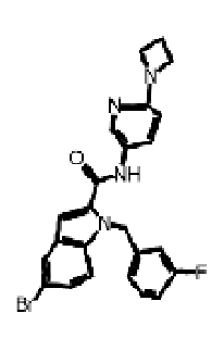 O=C(Nc1ccc(N2CCC2)nc1)c1cc2cc(Br)ccc2n1Cc1cccc(F)c1